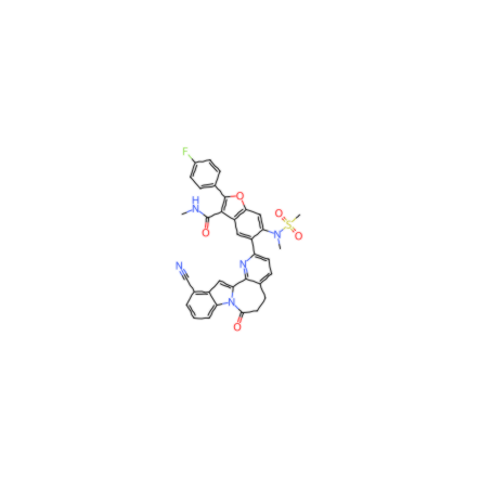 CNC(=O)c1c(-c2ccc(F)cc2)oc2cc(N(C)S(C)(=O)=O)c(-c3ccc4c(n3)-c3cc5c(C#N)cccc5n3C(=O)CC4)cc12